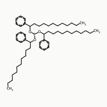 CCCCCCCCCCCC(OP(OC(CCCCCCCCCCC)c1ccccc1)OC(CCCCCCCCCCC)c1ccccc1)c1ccccc1